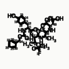 CC(=O)F.CC(C)[C@H](NC(=O)[C@H](Cc1ccc(O)cc1)NC(=O)OCc1ccccc1)C(=O)N[C@@H](C)C(=O)N[C@@H](CC(=O)O)C(=O)O